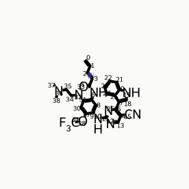 C=C/C=C/C(=O)Nc1cc(Nc2ncc(C#N)c(-c3c[nH]c4ccccc34)n2)c(OC(F)(F)F)cc1N(C)CCN(C)C